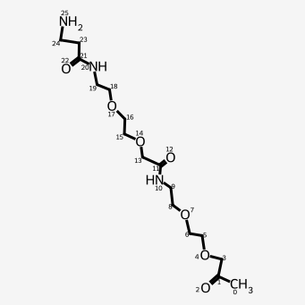 CC(=O)COCCOCCNC(=O)COCCOCCNC(=O)CCN